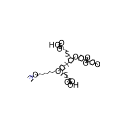 C=C/C(=C\C)OCCCCCCCCOc1ccc(C(C)(C)c2ccc(Oc3ccc(S(=O)(=O)c4ccc(OC)cc4)cc3)c(CSCCCS(=O)(=O)O)c2)cc1C(=C)SCCS(=O)(=O)O